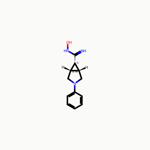 N=C(NO)[C@@H]1[C@@H]2CN(c3ccccc3)C[C@@H]21